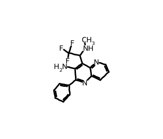 CNC(c1c(N)c(-c2ccccc2)nc2cccnc12)C(F)(F)F